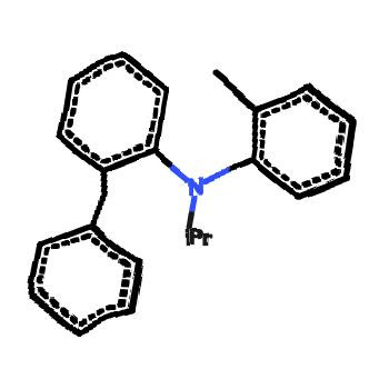 Cc1ccccc1N(c1ccccc1-c1ccccc1)C(C)C